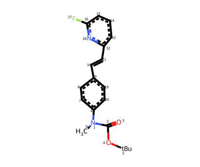 CN(C(=O)OC(C)(C)C)c1ccc(/C=C/c2cccc(F)n2)cc1